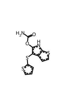 NC(=O)Oc1[nH]c2sccc2c1Sc1cccs1